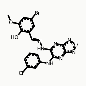 COc1cc(Br)cc(C=NNc2nc3nonc3nc2Nc2cccc(Cl)c2)c1O